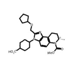 COC(=O)N1c2ccc3c(nc(COC4CCCC4)n3C3CCC(C(=O)O)CC3)c2CC[C@@H]1C